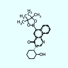 CC1(C)OB(c2cc3c(=O)n([C@H]4CCCC[C@@H]4O)cnc3c3ccccc23)OC1(C)C